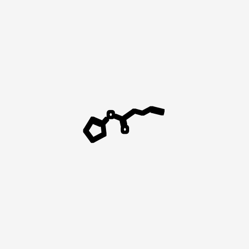 C=CCCC(=O)OC1=CCCC1